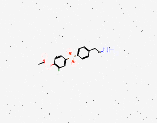 CC(=O)Oc1ccc(S(=O)(=O)c2ccc(CCN)cc2)cc1F